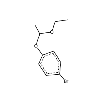 CCOC(C)Oc1ccc(Br)cc1